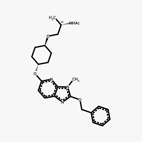 CC(=O)N[C@@H](C)CO[C@H]1CC[C@H](Oc2ccc3nc(OCc4ccccc4)n(C)c3n2)CC1